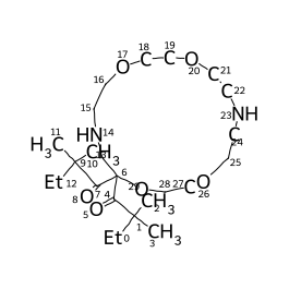 CCC(C)(C)C(=O)C1(C(=O)C(C)(C)CC)CNCCOCCOCCNCCOCCO1